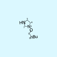 CCCCCON1CCNC1